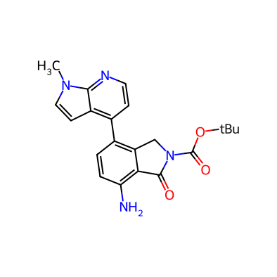 Cn1ccc2c(-c3ccc(N)c4c3CN(C(=O)OC(C)(C)C)C4=O)ccnc21